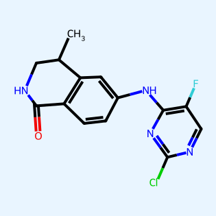 CC1CNC(=O)c2ccc(Nc3nc(Cl)ncc3F)cc21